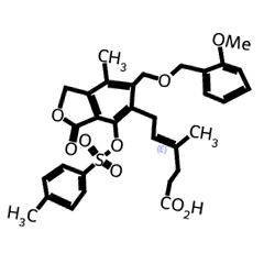 COc1ccccc1COCc1c(C)c2c(c(OS(=O)(=O)c3ccc(C)cc3)c1C/C=C(\C)CCC(=O)O)C(=O)OC2